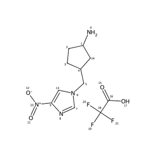 NC1CCC(Cn2cnc([N+](=O)[O-])c2)C1.O=C(O)C(F)(F)F